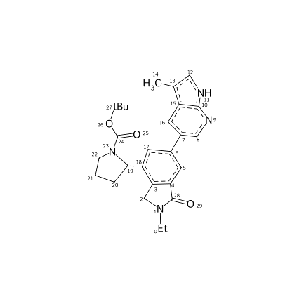 CCN1Cc2c(cc(-c3cnc4[nH]cc(C)c4c3)cc2[C@@H]2CCCN2C(=O)OC(C)(C)C)C1=O